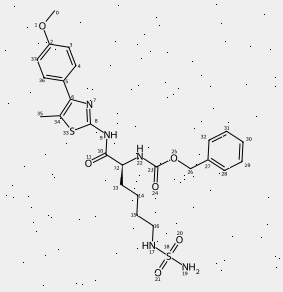 COc1ccc(-c2nc(NC(=O)[C@H](CCCCNS(N)(=O)=O)NC(=O)OCc3ccccc3)sc2C)cc1